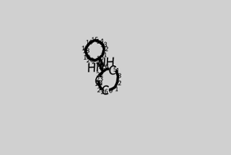 C1CCCCCCC(NNC2CCCCCCCCCCC2)CCCCC1